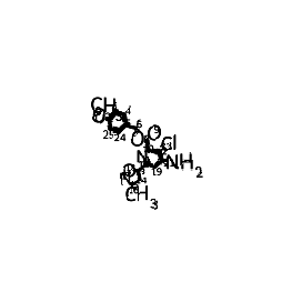 COc1ccc(COC(=O)c2nc(C3CC(C)=NO3)cc(N)c2Cl)cc1